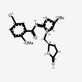 COc1ccc(Cl)cc1C(=O)N=c1sc(C(C)(C)C)cn1C[C@H]1CCC(=O)O1